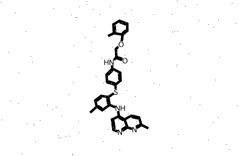 Cc1ccc(Sc2ccc(NC(=O)COc3ccccc3C)cc2)c(Nc2ccnc3nc(C)ccc23)c1